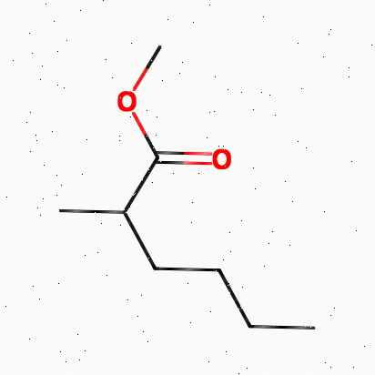 CCCCC(C)C(=O)OC